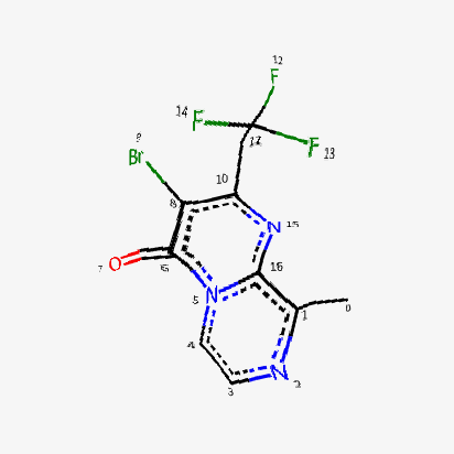 Cc1nccn2c(=O)c(Br)c(C(F)(F)F)nc12